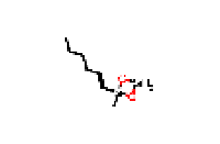 CCCCC=C[Si]1(C)O[SiH2]O1